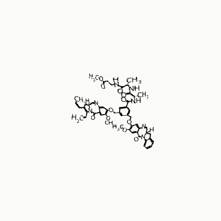 C=CC1=C(/C=C\C)C[C@H]2C=Nc3cc(OCc4cc(COc5cc6c(cc5OC)C(=O)N5c7ccccc7C[C@H]5C=N6)cc(C(=O)N[C@@H](C)C(=O)N[C@@H](C)C(=O)NCCC(=O)OC)c4)c(OC)cc3C(=O)N12